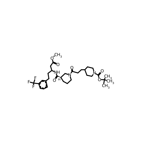 COC(=O)CC(CCc1cccc(C(F)(F)F)c1)NC(=O)[C@@H]1CCCN(C(=O)CCC2CCN(C(=O)OC(C)(C)C)CC2)C1